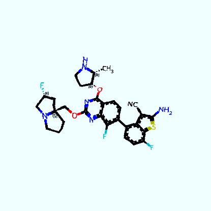 C[C@H]1NCC[C@H]1Oc1nc(OC[C@@]23CCCN2C[C@H](F)C3)nc2c(F)c(-c3ccc(F)c4sc(N)c(C#N)c34)ccc12